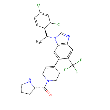 CC([C@H]1C=CC(Cl)=CC1Cl)n1cnc2cc(C(F)(F)F)c(C3=CCN(C(=O)C4CCCN4)CC3)cc21